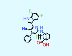 N#Cc1c(-c2c[nH]c3c(F)cc(F)cc23)nc(N[C@@H]2C3CCC(CC3)[C@H]2C(=O)O)c(F)c1-c1ccccc1